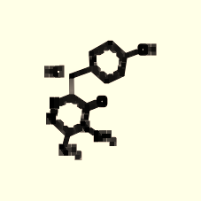 Cl.Nc1nnc(Cc2ccc(O)cc2)c(=O)n1N